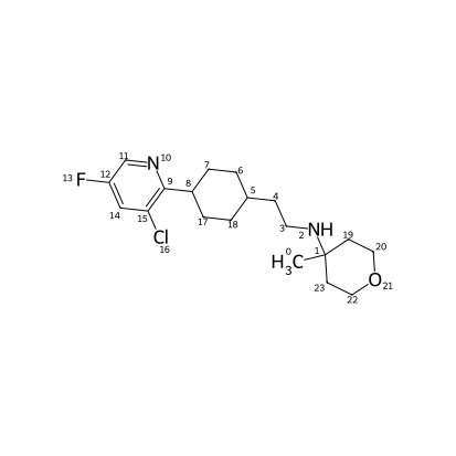 CC1(NCCC2CCC(c3ncc(F)cc3Cl)CC2)CCOCC1